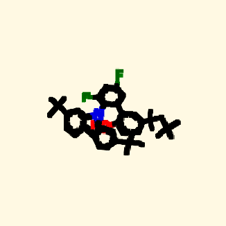 CC(C)(C)CC(C)(C)c1ccc(O)c(-c2cc(F)cc(F)c2-n2c3cc(C(C)(C)C)ccc3c3ccc(C(C)(C)C)cc32)c1